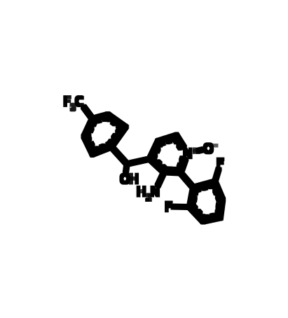 Nc1c(C(O)c2ccc(C(F)(F)F)cc2)cc[n+]([O-])c1-c1c(F)cccc1F